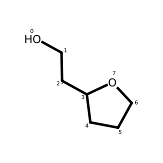 OC[CH]C1CCCO1